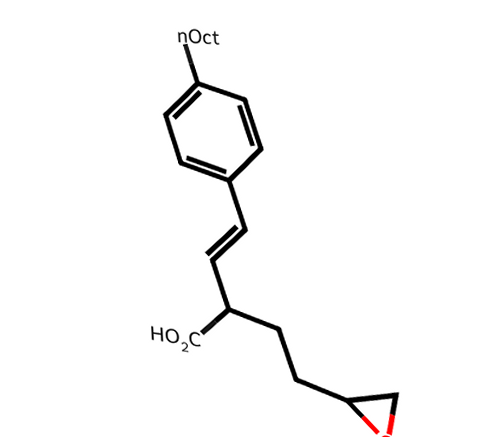 CCCCCCCCc1ccc(/C=C/C(CCC2CO2)C(=O)O)cc1